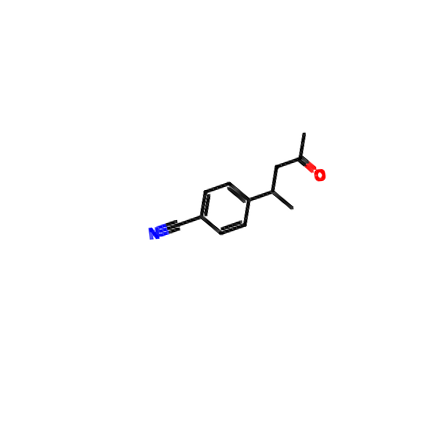 CC(=O)CC(C)c1ccc(C#N)cc1